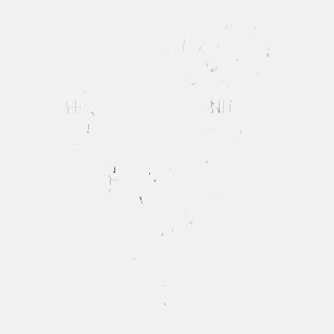 CC1C/C=C/[C@H](O)[C@@H]2CC[C@H]2CN2C[C@@]3(CCCc4cc(Cl)ccc43)COc3ccc(cc32)C(=O)NS(=O)(=O)[C@H]1CC1CCOCC1